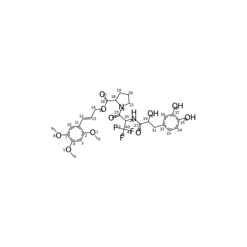 COc1cc(OC)c(OC)cc1/C=C/COC(=O)C1CCCN1C(=O)C(NC(=O)C(O)Cc1ccc(O)c(O)c1)C(F)(F)F